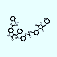 C[C@H](NC(=O)c1ccc2c(c1)/C(=C(/Nc1cccc(NC(=O)Nc3cccc(N4C(=O)N/C(=C\c5cccnc5)C4=O)c3)c1)c1ccccc1)C(=O)N2)c1ccccc1